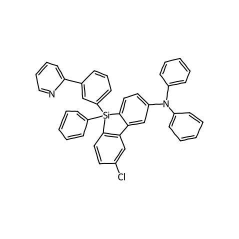 Clc1ccc2c(c1)-c1cc(N(c3ccccc3)c3ccccc3)ccc1[Si]2(c1ccccc1)c1cccc(-c2ccccn2)c1